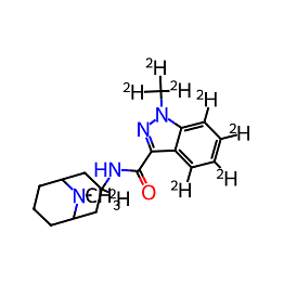 [2H]c1c([2H])c([2H])c2c(c(C(=O)NC3([2H])CC4CCCC(C3)N4C)nn2C([2H])([2H])[2H])c1[2H]